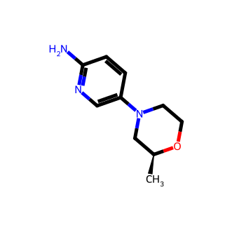 C[C@H]1CN(c2ccc(N)nc2)CCO1